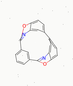 c1cc2cc(c1)-c1nc3cc(ccc3o1)-c1ccc3oc-2nc3c1